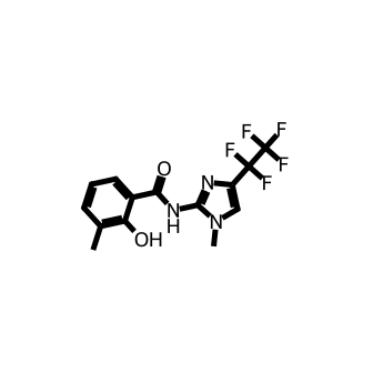 Cc1cccc(C(=O)Nc2nc(C(F)(F)C(F)(F)F)cn2C)c1O